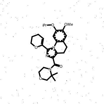 COc1cc2c(cc1OC(C)C)-n1c(C3=CCCCO3)nc(C(=O)N3CCOCC3(C)C)c1CC2